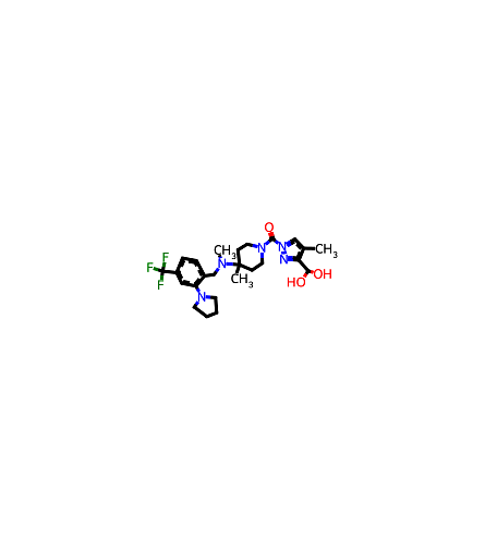 Cc1cn(C(=O)N2CCC(C)(N(C)Cc3ccc(C(F)(F)F)cc3N3CCCC3)CC2)nc1C(O)O